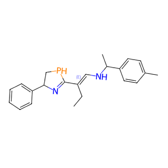 CC/C(=C\NC(C)c1ccc(C)cc1)C1=NC(c2ccccc2)CP1